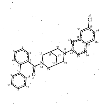 O=C(c1ccccc1-c1ccccc1)N1CC2CC(C1)CN(c1cnc3ccc(Cl)cc3n1)C2